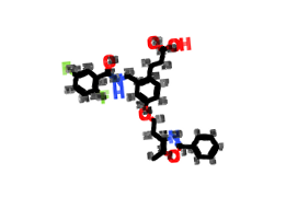 Cc1oc(-c2ccccc2)nc1CCOc1ccc(CCC(=O)O)c(CNC(=O)c2cc(F)ccc2F)c1